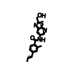 C/C=C/c1ccc(C(=O)Nc2cnc3sc(CO)nc3c2)c(C)c1